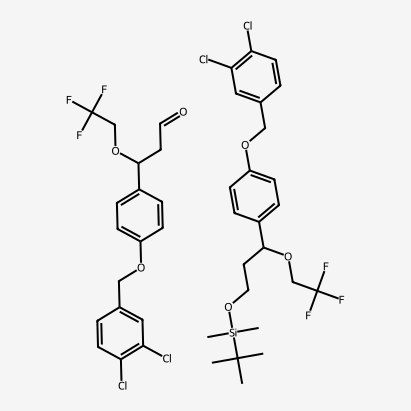 CC(C)(C)[Si](C)(C)OCCC(OCC(F)(F)F)c1ccc(OCc2ccc(Cl)c(Cl)c2)cc1.O=CCC(OCC(F)(F)F)c1ccc(OCc2ccc(Cl)c(Cl)c2)cc1